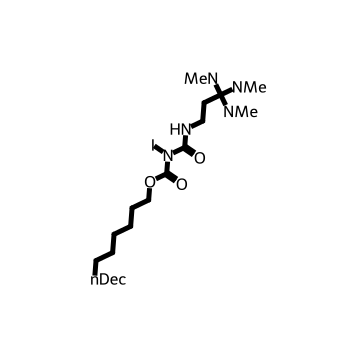 CCCCCCCCCCCCCCCCOC(=O)N(I)C(=O)NCCC(NC)(NC)NC